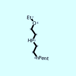 CCCCCCCPCCOCC